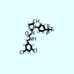 Cc1cs/c(=N\C(=O)NCc2cc(Cl)cc(Cl)c2)n1-c1ccc(C(F)(F)F)cc1